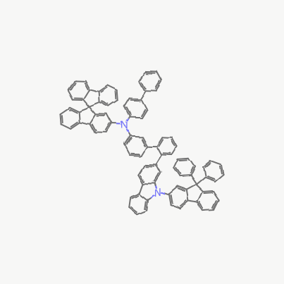 c1ccc(-c2ccc(N(c3cccc(-c4ccccc4-c4ccc5c6ccccc6n(-c6ccc7c(c6)C(c6ccccc6)(c6ccccc6)c6ccccc6-7)c5c4)c3)c3ccc4c(c3)C3(c5ccccc5-c5ccccc53)c3ccccc3-4)cc2)cc1